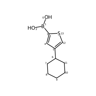 OB(O)c1cc(C2CCCCC2)cs1